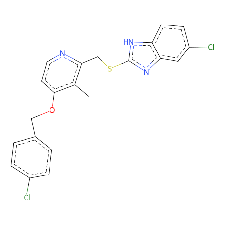 Cc1c(OCc2ccc(Cl)cc2)ccnc1CSc1nc2cc(Cl)ccc2[nH]1